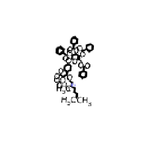 CC(=O)Oc1c(OC/C=C(\C)CCC=C(C)C)c2ccc(O[C@@H]3O[C@H](COC(=O)c4ccccc4)[C@H](OC(=O)c4ccccc4)[C@H](OC(=O)c4ccccc4)[C@H]3OC(=O)c3ccccc3)cc2oc1=O